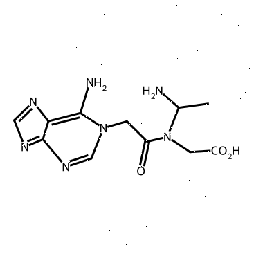 CC(N)N(CC(=O)O)C(=O)Cn1cnc2ncnc-2c1N